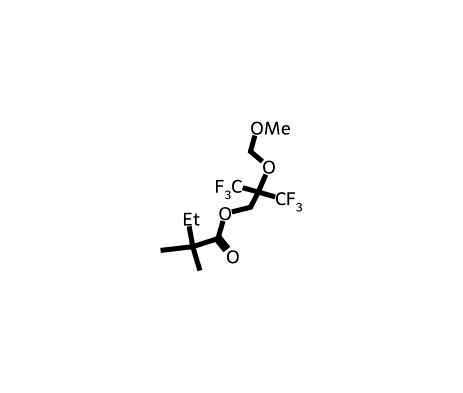 CCC(C)(C)C(=O)OCC(OCOC)(C(F)(F)F)C(F)(F)F